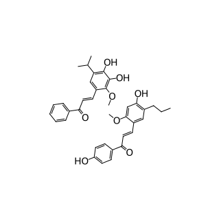 CCCc1cc(C=CC(=O)c2ccc(O)cc2)c(OC)cc1O.COc1c(C=CC(=O)c2ccccc2)cc(C(C)C)c(O)c1O